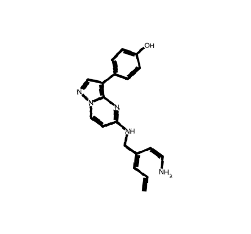 C=C/C=C(\C=C/N)CNc1ccn2ncc(-c3ccc(O)cc3)c2n1